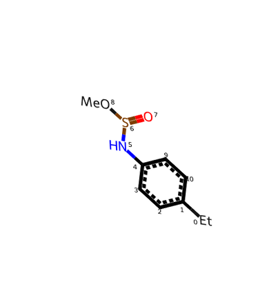 CCc1ccc(NS(=O)OC)cc1